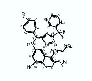 CC(C)(C)CNc1c(C#N)cnc2c(C#N)cc(N[C@@H](c3ccc(F)cc3)c3cn(C4(c5cnccn5)CC4)nn3)cc12